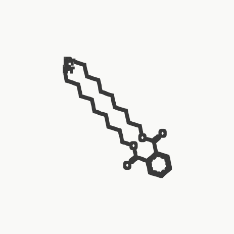 CC(C)CCCCCCCCCOC(=O)c1ccccc1C(=O)OCCCCCCCCCC(C)C